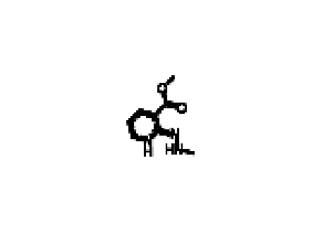 CN/N=c1\[nH]cccc1C(=O)OC